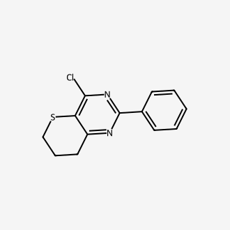 Clc1nc(-c2ccccc2)nc2c1SCCC2